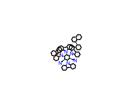 N#Cc1c(-n2c3ccccc3c3ccccc32)c(C#N)c(-n2c3ccccc3c3ccccc32)c(-n2c3cc(-c4ccccc4-c4cccc5ccccc45)ccc3c3ccc4c5ccccc5sc4c32)c1-n1c2ccccc2c2ccccc21